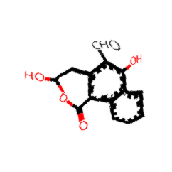 O=Cc1c2c(c3ccccc3c1O)C(=O)OC(O)C2